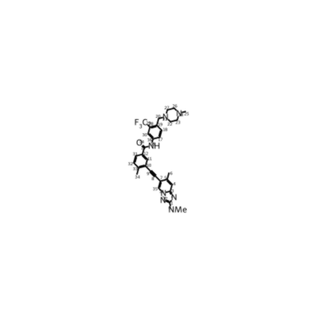 CNc1nc2cc(C)c(C#Cc3cc(C(=O)Nc4ccc(CN5CCN(C)CC5)c(C(F)(F)F)c4)ccc3C)cn2n1